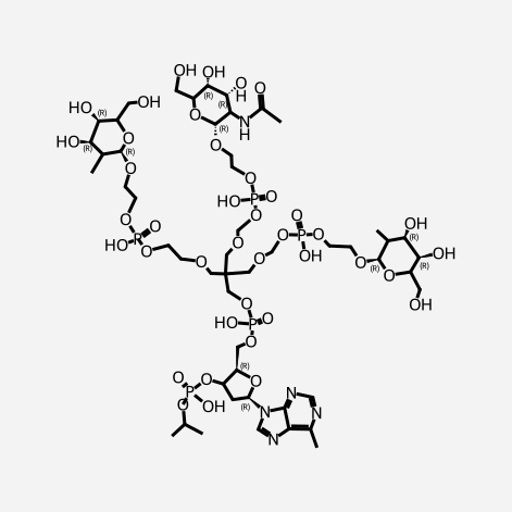 CC(=O)NC1[C@H](OCCOP(=O)(O)OCOCC(COCCOP(=O)(O)OCCO[C@@H]2OC(CO)[C@H](O)[C@H](O)C2C)(COCOP(=O)(O)OCCO[C@@H]2OC(CO)[C@H](O)[C@H](O)C2C)COP(=O)(O)OC[C@H]2O[C@@H](n3cnc4c(C)ncnc43)CC2OP(=O)(O)OC(C)C)OC(CO)[C@H](O)[C@@H]1O